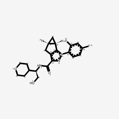 O=C(N[C@@H](CO)C1CCOCC1)c1nn(-c2ccc(F)cc2F)c2c1C[C@H]1C[C@@H]21